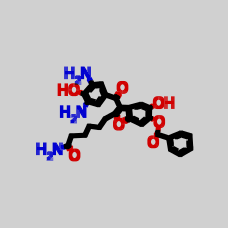 NC(=O)CCCCCc1oc2cc(OC(=O)c3ccccc3)c(O)cc2c1C(=O)c1cc(N)c(O)c(N)c1